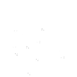 Cc1ccc2c(c1)c(C(=O)c1nc(-c3cnccn3)no1)c(Cl)n2Cc1ccc(Cl)cc1